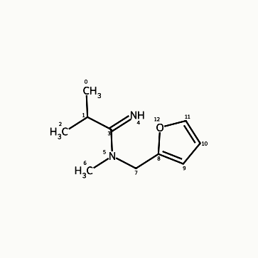 CC(C)C(=N)N(C)Cc1ccco1